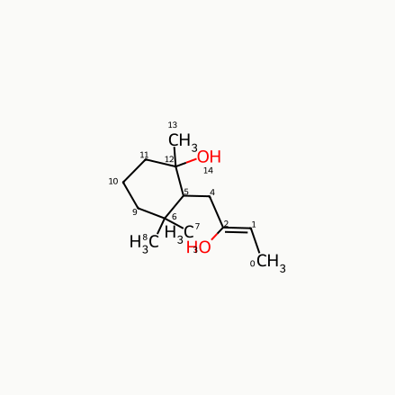 CC=C(O)CC1C(C)(C)CCCC1(C)O